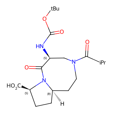 CC(C)C(=O)N1CC[C@H]2CC[C@@H](C(=O)O)N2C(=O)[C@@H](NC(=O)OC(C)(C)C)C1